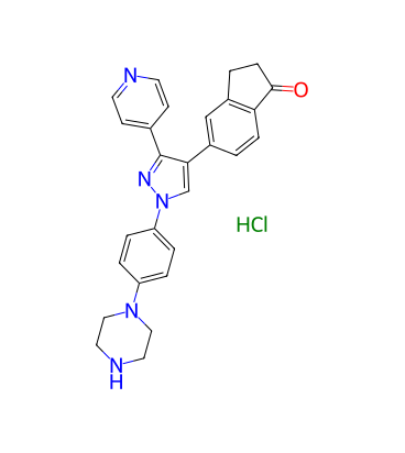 Cl.O=C1CCc2cc(-c3cn(-c4ccc(N5CCNCC5)cc4)nc3-c3ccncc3)ccc21